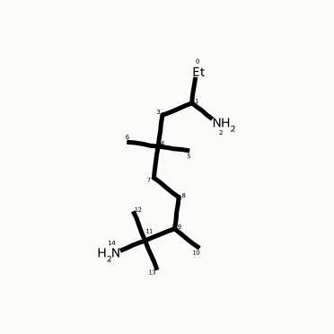 CCC(N)CC(C)(C)CCC(C)C(C)(C)N